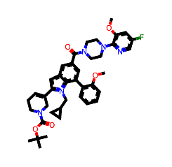 COc1ccccc1-c1cc(C(=O)N2CCN(c3ncc(F)cc3OC)CC2)cc2cc(C3=CCCN(C(=O)OC(C)(C)C)C3)n(CC3CC3)c12